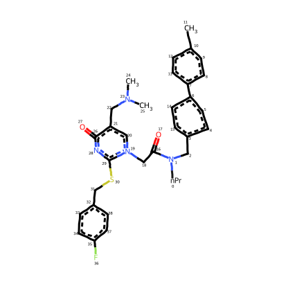 CCCN(Cc1ccc(-c2ccc(C)cc2)cc1)C(=O)Cn1cc(CN(C)C)c(=O)nc1SCc1ccc(F)cc1